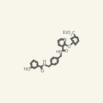 CCOC(=O)c1cccc(Oc2ncccc2C(=O)NCc2ccc(CNC(=O)c3cccc(O)c3)cc2)c1